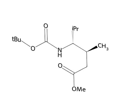 COC(=O)C[C@H](C)[C@H](NC(=O)OC(C)(C)C)C(C)C